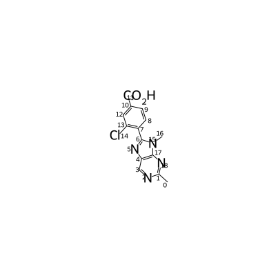 Cc1ncc2nc(-c3ccc(C(=O)O)cc3Cl)n(C)c2n1